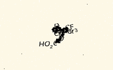 O=C(O)C1CC(OCCOc2cc(Br)c(C(F)(F)F)cc2-c2cc(=O)c3cccc(Cl)c3o2)C1